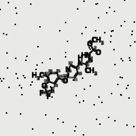 COC(=O)N/N=C(/C)Nc1ccc(Oc2ccc(C)c(OC(F)(F)F)c2)nc1